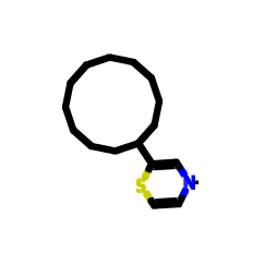 C1=CSC(C2CCCCCCCCCCC2)=C[N]1